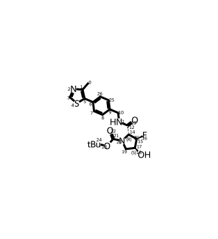 Cc1ncsc1-c1ccc(CNC(=O)[C@@H]2[C@@H](F)[C@@H](O)CN2C(=O)OC(C)(C)C)cc1